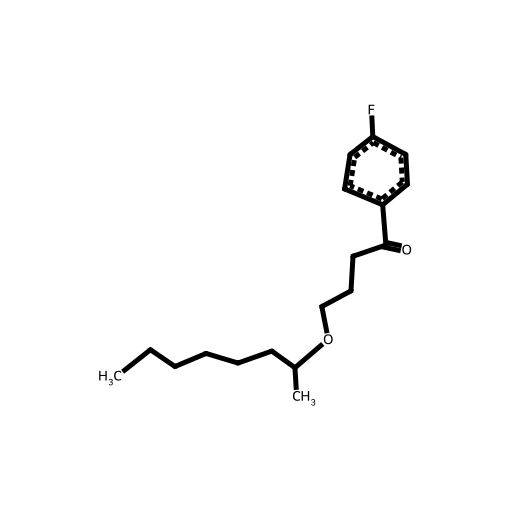 CCCCCCC(C)OCCCC(=O)c1ccc(F)cc1